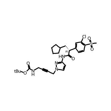 CC(C)(C)OC(=O)NCC#CCn1ccc(NC(=O)[C@H](CC2CCCC2)c2ccc(S(C)(=O)=O)c(Cl)c2)n1